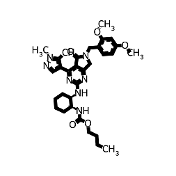 CCCCOC(=O)N[C@H]1CCCC[C@H]1Nc1nc2c(c(-c3cnn(C)c3C)n1)C(=O)N(Cc1ccc(OC)cc1OC)C2